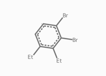 CCc1c[c]c(Br)c(Br)c1CC